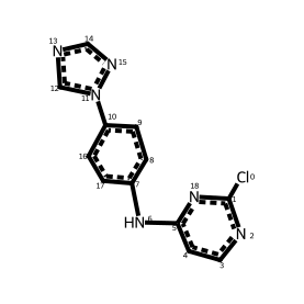 Clc1nccc(Nc2ccc(-n3cncn3)cc2)n1